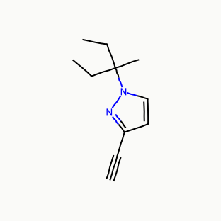 C#Cc1ccn(C(C)(CC)CC)n1